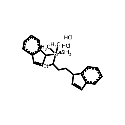 CC[CH](CCC1C=Cc2ccccc21)[Zr]([CH3])([CH3])(=[SiH2])[CH]1C=Cc2ccccc21.Cl.Cl